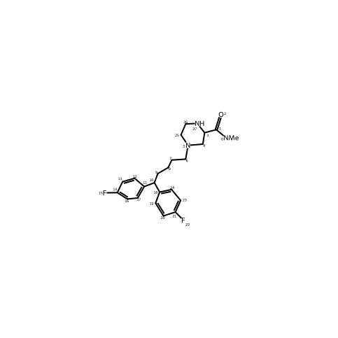 CNC(=O)C1CN(CCCCC(c2ccc(F)cc2)c2ccc(F)cc2)CCN1